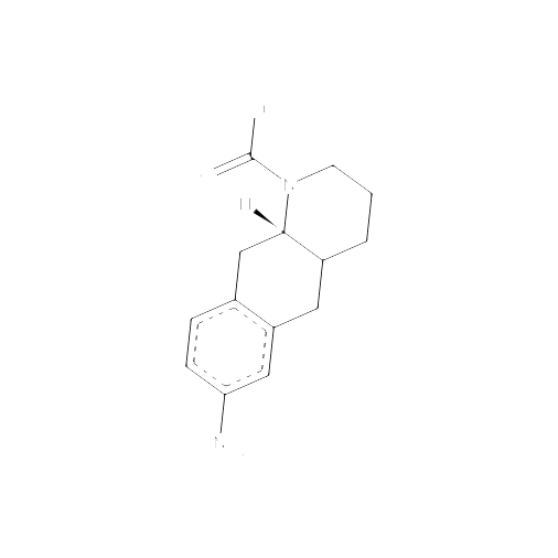 CCC(=O)N1CCC[C@H]2Cc3cc(N)ccc3C[C@@H]21